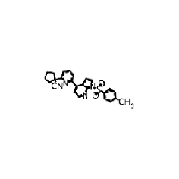 Cc1ccc(S(=O)(=O)n2ccc3c(-c4cccc(C5(C#N)CCCC5)n4)ccnc32)cc1